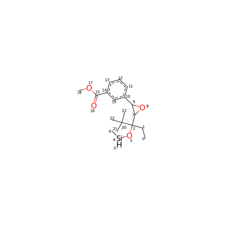 CCC(O[SiH](C)C)(C1OC1c1cccc(C(=O)OC)c1)C(C)(C)C